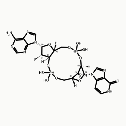 Nc1ncnc2c1ncn2[C@@H]1O[C@@H]2CO[PH](O)(S)O[C@@H]3[C@@H](F)[C@@H](CO[PH](O)(S)O[C@H]2[C@@H]1F)O[C@H]3n1cnc2c(=O)[nH]ccc21